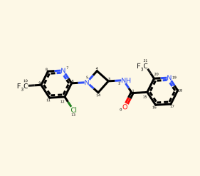 O=C(NC1CN(c2ncc(C(F)(F)F)cc2Cl)C1)c1cccnc1C(F)(F)F